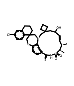 C[C@@H]1/C=C/C(O)CC2(CCC2)CN2CC3(CCCc4cc(Cl)ccc43)COc3ccc(cc32)C(=O)NS(=O)(=O)[C@@H]1C